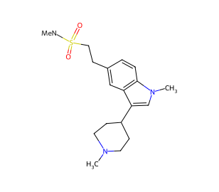 CNS(=O)(=O)CCc1ccc2c(c1)c(C1CCN(C)CC1)cn2C